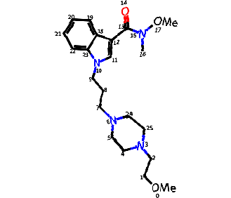 COCCN1CCN(CCCn2cc(C(=O)N(C)OC)c3ccccc32)CC1